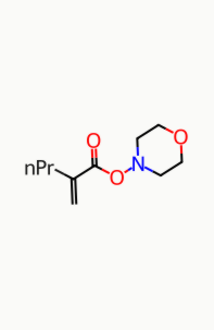 C=C(CCC)C(=O)ON1CCOCC1